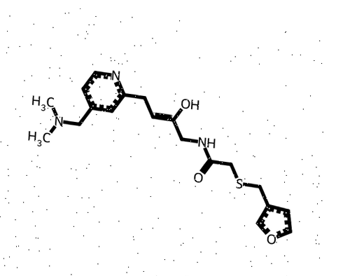 CN(C)Cc1ccnc(C/C=C(\O)CNC(=O)CSCc2ccoc2)c1